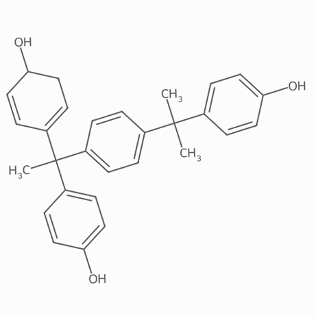 CC(C)(c1ccc(O)cc1)c1ccc(C(C)(C2=CCC(O)C=C2)c2ccc(O)cc2)cc1